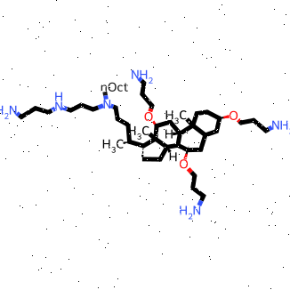 CCCCCCCCN(CCCNCCCN)CCC[C@@H](C)[C@H]1CC[C@H]2C3[C@H](OCCCN)CC4C[C@H](OCCCN)CCC4(C)[C@H]3C[C@H](OCCCN)C12C